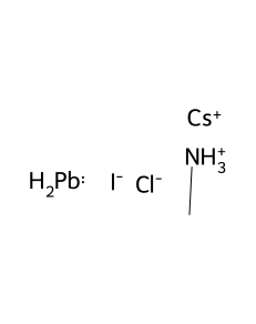 C[NH3+].[Cl-].[Cs+].[I-].[PbH2]